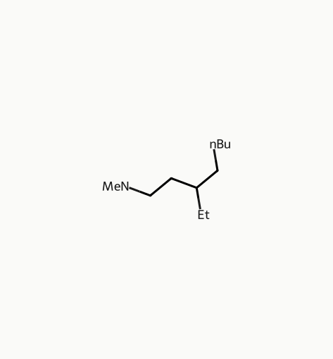 CCCCCC(CC)CCNC